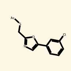 CC(=O)SCc1ncc(-c2cccc(Cl)c2)o1